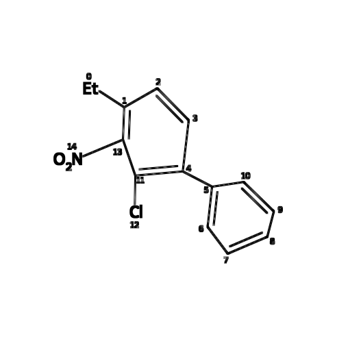 CCc1ccc(-c2ccccc2)c(Cl)c1[N+](=O)[O-]